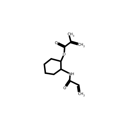 C=CC(=O)NC1CCCCC1OC(=O)C(=C)C